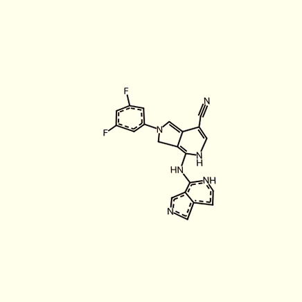 N#CC1=CNC(Nc2[nH]ccc3cncc2-3)=C2CN(c3cc(F)cc(F)c3)C=C12